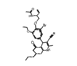 C=CC(COc1c(Br)cc(C2C(C#N)=C(C)NC3=C2C(=O)CC(CCC)C3)cc1OCC)NC(C)=O